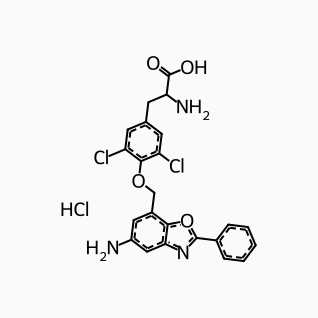 Cl.Nc1cc(COc2c(Cl)cc(CC(N)C(=O)O)cc2Cl)c2oc(-c3ccccc3)nc2c1